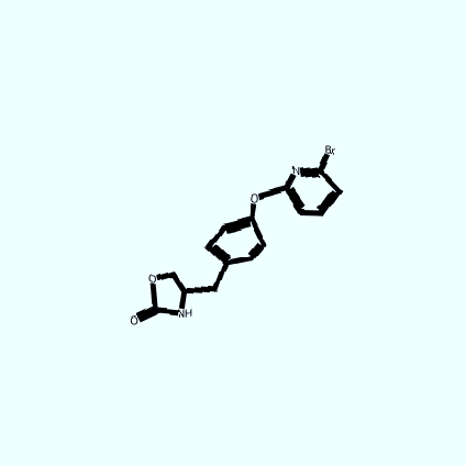 O=C1NC(Cc2ccc(Oc3cccc(Br)n3)cc2)CO1